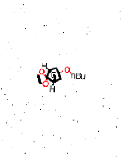 CCCCO[C@@H]1C[C@H]2CC[C@@H](C1)C21OCCO1